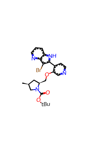 C[C@H]1C[C@@H](COc2cnccc2-c2[nH]c3cccnc3c2Br)N(C(=O)OC(C)(C)C)C1